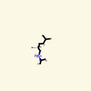 CC(C)CC[C@@H](C)CNC(C)C